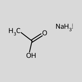 CC(=O)O.[NaH3]